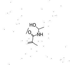 C=C(C)C(=O)NC(C)O.CC